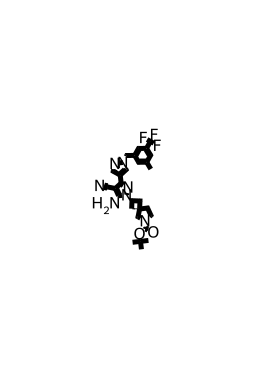 Cc1cc(Cn2cc(-c3nn([C@H]4C[C@@]5(CCN(C(=O)OC(C)(C)C)C5)C4)c(N)c3C#N)cn2)cc(C(F)(F)F)c1